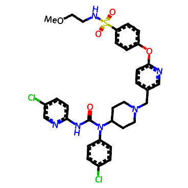 COCCNS(=O)(=O)c1ccc(Oc2ccc(CN3CCC(N(C(=O)Nc4ccc(Cl)cn4)c4ccc(Cl)cc4)CC3)cn2)cc1